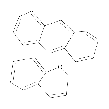 C1=Cc2ccccc2OC1.c1ccc2cc3ccccc3cc2c1